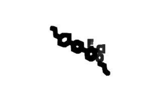 CCCCOc1ccc(-c2ccc(C3CCC(CCC)CC3)cc2)c(F)c1Cl